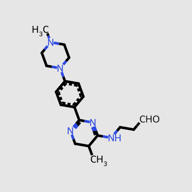 CC1CN=C(c2ccc(N3CCN(C)CC3)cc2)N=C1NCCC=O